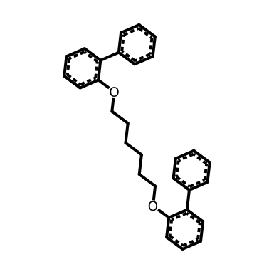 c1ccc(-c2ccccc2OCCCCCCOc2ccccc2-c2ccccc2)cc1